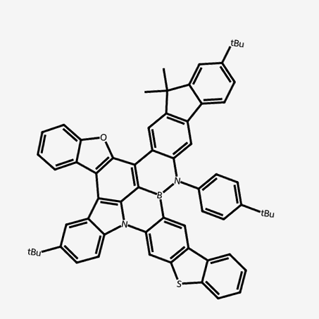 CC(C)(C)c1ccc(N2B3c4cc5c(cc4-n4c6ccc(C(C)(C)C)cc6c6c7c(oc8ccccc87)c(c3c64)-c3cc4c(cc32)-c2ccc(C(C)(C)C)cc2C4(C)C)sc2ccccc25)cc1